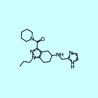 CCCn1nc(C(=O)N2CCCCC2)c2c1CCC(NCc1ncc[nH]1)C2